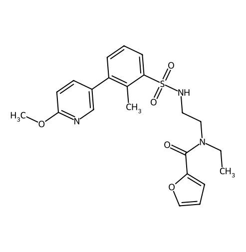 CCN(CCNS(=O)(=O)c1cccc(-c2ccc(OC)nc2)c1C)C(=O)c1ccco1